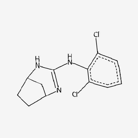 Clc1cccc(Cl)c1NC1=NC2CCC(C2)N1